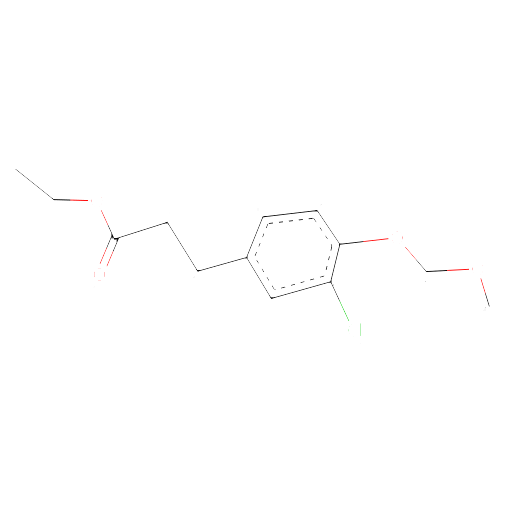 CCOC(=O)CCc1ccc(OCOC)c(Cl)c1